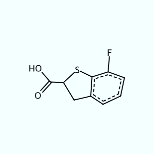 O=C(O)C1Cc2cccc(F)c2S1